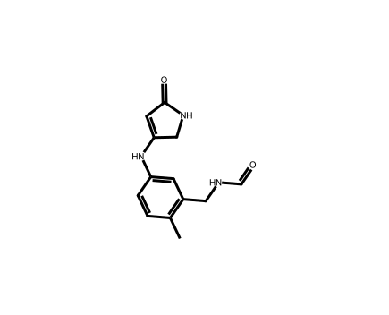 Cc1ccc(NC2=CC(=O)NC2)cc1CNC=O